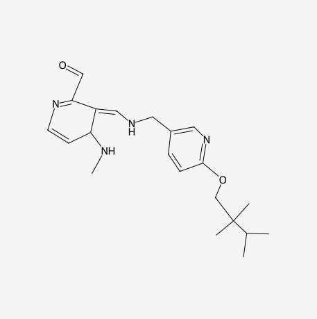 CNC1C=CN=C(C=O)/C1=C/NCc1ccc(OCC(C)(C)C(C)C)nc1